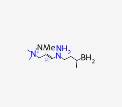 BC(C)CCN(N)/C=C(/C[N+](C)(C)C)NC